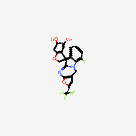 Oc1cc2c(cc1O)C1(CO2)C2=Nc3oc(C(F)(F)F)cc3CN2c2c(F)cccc21